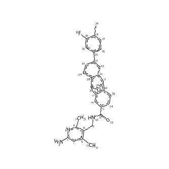 Cc1cc(N)nc(C)c1CNC(=O)c1ccc2c(c1)c1oc2c2cc(-c3ccc(F)c(F)c3)ccc21